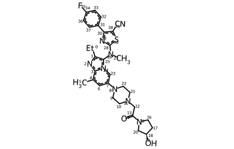 CCc1nc2c(C)cc(N3CCN(CC(=O)N4CC[C@@H](O)C4)CC3)cn2c1N(C)c1nc(-c2ccc(F)cc2)c(C#N)s1